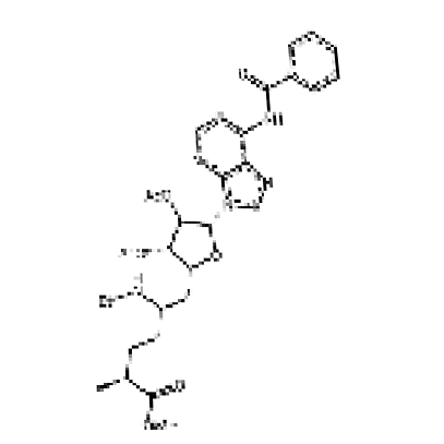 CCN[C@@H](CC[C@H](C)C(=O)OC)C[C@H]1O[C@@H](n2cnc3c(NC(=O)c4ccccc4)ncnc32)C(OC(C)=O)[C@H]1OC(C)=O